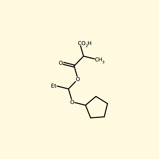 CCC(OC(=O)C(C)C(=O)O)OC1CCCC1